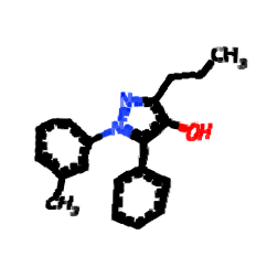 CCCc1nn(-c2cccc(C)c2)c(-c2ccccc2)c1O